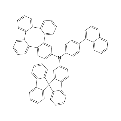 c1ccc2c(c1)-c1ccccc1-c1ccc(N(c3ccc(-c4cccc5ccccc45)cc3)c3ccc4c(c3)C3(c5ccccc5-c5ccccc53)c3ccccc3-4)cc1-c1ccccc1-2